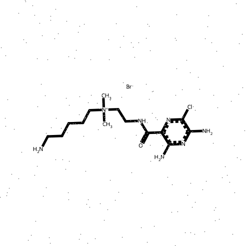 C[N+](C)(CCCCCN)CCNC(=O)c1nc(Cl)c(N)nc1N.[Br-]